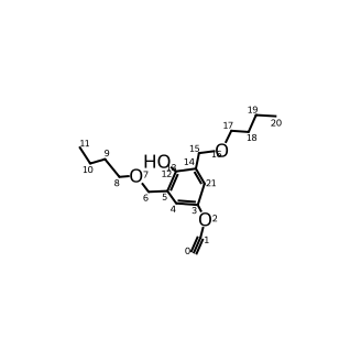 C#COc1cc(COCCCC)c(O)c(COCCCC)c1